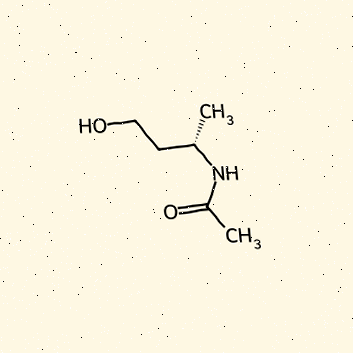 CC(=O)N[C@@H](C)CCO